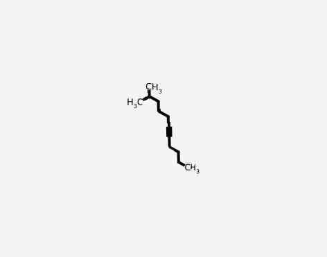 CCCCC#CCCC[C](C)C